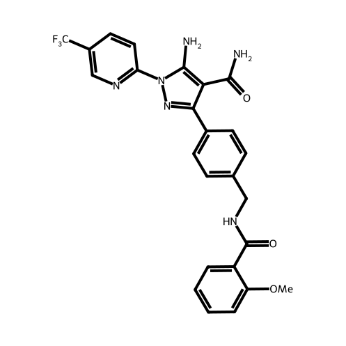 COc1ccccc1C(=O)NCc1ccc(-c2nn(-c3ccc(C(F)(F)F)cn3)c(N)c2C(N)=O)cc1